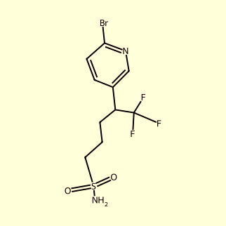 NS(=O)(=O)CCCC(c1ccc(Br)nc1)C(F)(F)F